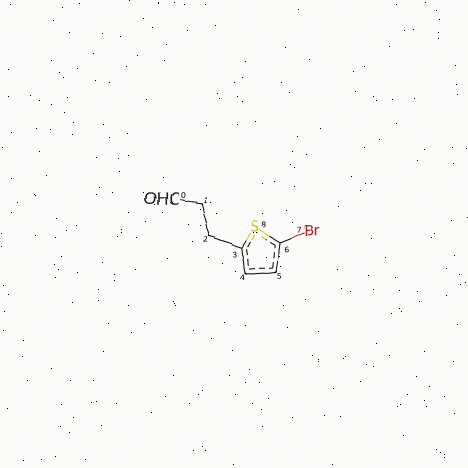 O=CCCc1ccc(Br)s1